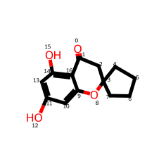 O=C1CC2(CCCC2)Oc2cc(O)cc(O)c21